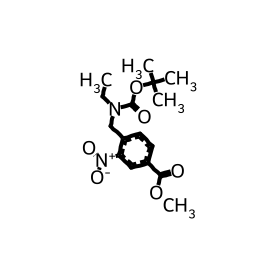 CCN(Cc1ccc(C(=O)OC)cc1[N+](=O)[O-])C(=O)OC(C)(C)C